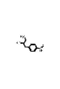 CCC(C)Cc1ccc([SH](=O)=O)cc1